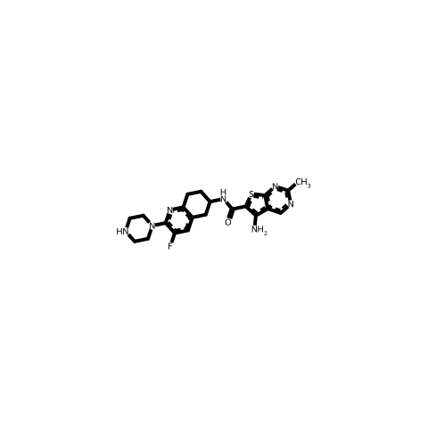 Cc1ncc2c(N)c(C(=O)NC3CCc4nc(N5CCNCC5)c(F)cc4C3)sc2n1